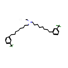 CCN(CCCCCCCCc1cccc(C(F)(F)F)c1)CCCCCCCCc1cccc(C(F)(F)F)c1